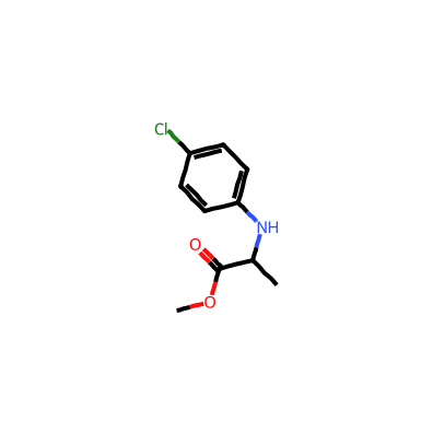 COC(=O)C(C)Nc1ccc(Cl)cc1